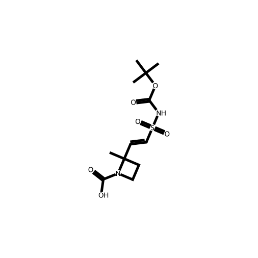 CC(C)(C)OC(=O)NS(=O)(=O)C=CC1(C)CCN1C(=O)O